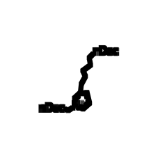 CCCCCCCCCCCCCCCc1ccc[n+](CCCCCCCCCCC)c1